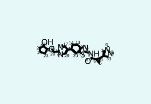 Cn1cc(C2CC2C(=O)Nc2nc3ccc(-c4cnc(CO[C@H]5CCC[C@@H]5O)nc4)cc3s2)cn1